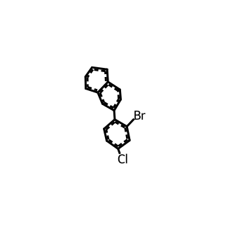 Clc1ccc(-c2ccc3ccccc3c2)c(Br)c1